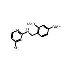 COc1ccc(CNc2nccc(S)n2)c(OC)c1